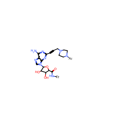 CCNC(=O)C1OC(n2cnc3c(N)nc(C#CCN4CCN(C(C)=O)CC4)nc32)C(O)C1O